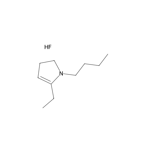 CCCCN1CCC=C1CC.F